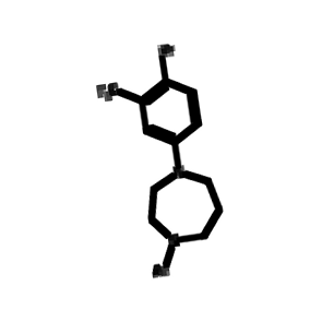 CC(=O)N1CCCN(c2ccc(C(C)C)c(C(F)(F)F)c2)CC1